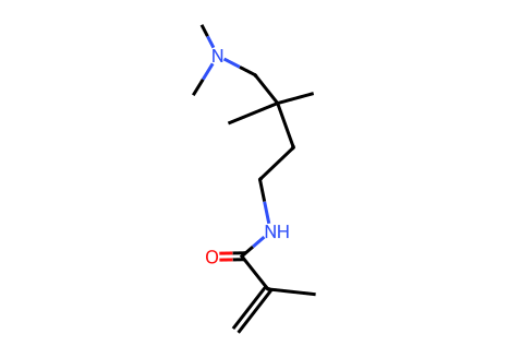 C=C(C)C(=O)NCCC(C)(C)CN(C)C